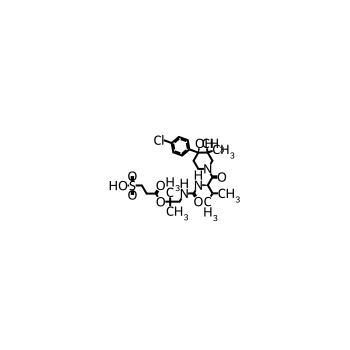 CC(C)[C@@H](NC(=O)NCC(C)(C)OC(=O)CCS(=O)(=O)O)C(=O)N1CC[C@](O)(c2ccc(Cl)cc2)C(C)(C)C1